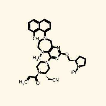 C=CC(=O)N1CCN(c2nc(OC[C@H]3CCCN3C(C)C)nc3c2N(C)CCN(c2cccc4cccc(C)c24)C3)C[C@@H]1CC#N